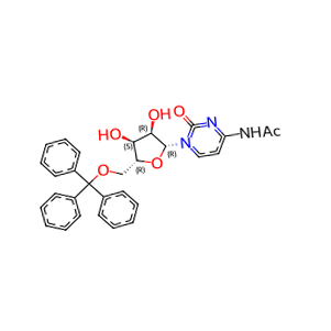 CC(=O)Nc1ccn([C@@H]2O[C@H](COC(c3ccccc3)(c3ccccc3)c3ccccc3)[C@@H](O)[C@H]2O)c(=O)n1